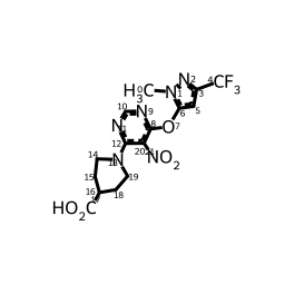 Cn1nc(C(F)(F)F)cc1Oc1ncnc(N2CCC(C(=O)O)CC2)c1[N+](=O)[O-]